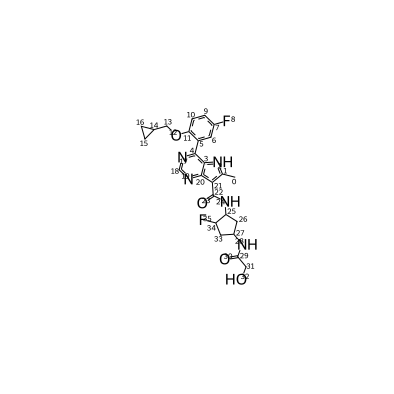 Cc1[nH]c2c(-c3cc(F)ccc3OCC3CC3)ncnc2c1C(=O)NC1CC(NC(=O)CO)CC1F